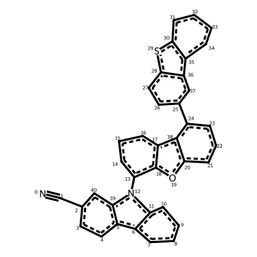 N#Cc1ccc2c3ccccc3n(-c3cccc4c3oc3cccc(-c5ccc6sc7ccccc7c6c5)c34)c2c1